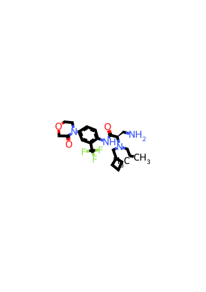 CC(C)CN(CC1CCC1)[C@H](CN)C(=O)Nc1ccc(N2CCOCC2=O)cc1C(F)(F)F